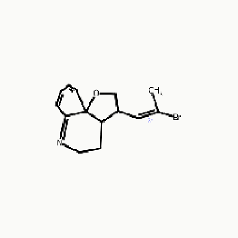 C/C(Br)=C\C1COC23C=CC=CC2=NCCC13